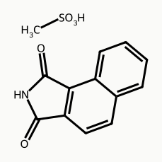 CS(=O)(=O)O.O=C1NC(=O)c2c1ccc1ccccc21